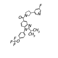 CC(C)c1nc2cc(C(=O)N3CCC(c4cncc(F)c4)C3)ccc2n1-c1ccc(OC(F)(F)F)cc1